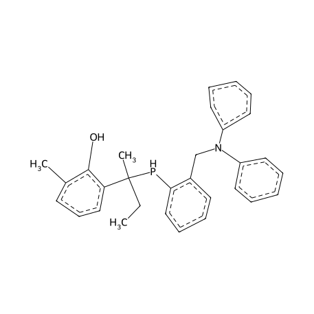 CCC(C)(Pc1ccccc1CN(c1ccccc1)c1ccccc1)c1cccc(C)c1O